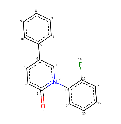 O=c1ccc(-c2ccccc2)cn1-c1ccccc1F